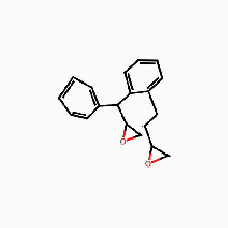 [CH](Cc1ccccc1C(c1ccccc1)C1CO1)C1CO1